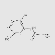 C=C(Nc1cc(C#N)ccc1C)C(F)(F)F